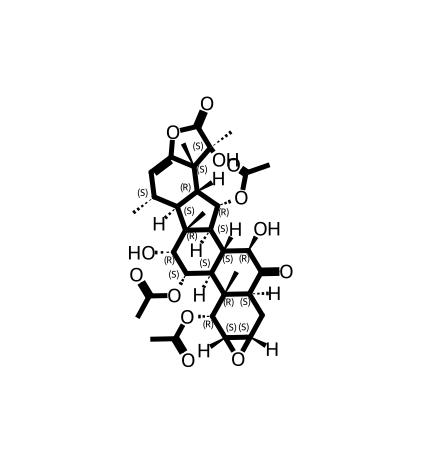 CC(=O)O[C@@H]1[C@H]2[C@H]3[C@H]([C@H](OC(C)=O)[C@H](O)[C@]2(C)[C@@H]2[C@@H]1[C@]1(C)C(=C[C@H]2C)OC(=O)[C@@]1(C)O)[C@]1(C)[C@H](C[C@@H]2O[C@@H]2[C@@H]1OC(C)=O)C(=O)[C@@H]3O